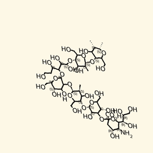 C[C@@H]1OC(CO)[C@@H](O[C@@H]2OC(CO)[C@@H](O[C@H](O)[C@H](O)C(O[C@H]3O[C@H](CO)[C@@H](O)C(O)C3O[C@@H]3OC(CO)[C@@H](O[C@@H]4OC(CO)[C@H](O)C(O[C@]5(C(=O)O)C[C@@H](O)[C@@H](N)C([C@H](O)[C@H](O)CO)O5)[C@@H]4O)C(O)[C@@H]3C)[C@H](O)CCO)C(O)[C@@H]2C)C(O)[C@@H]1C